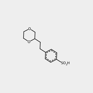 O=S(=O)(O)c1ccc(CCC2COCCO2)cc1